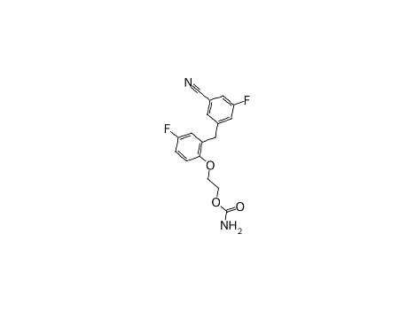 N#Cc1cc(F)cc(Cc2cc(F)ccc2OCCOC(N)=O)c1